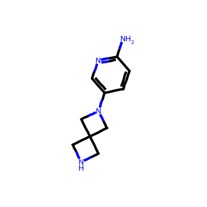 Nc1ccc(N2CC3(CNC3)C2)cn1